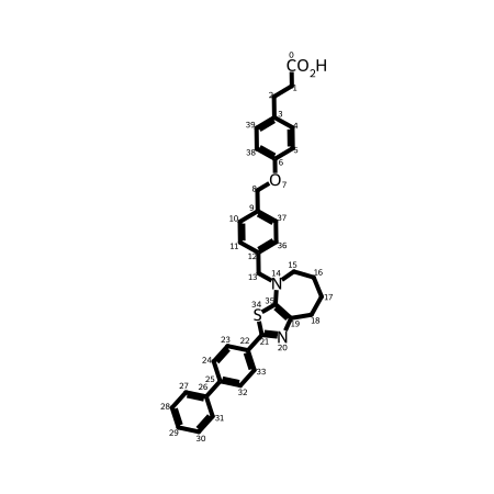 O=C(O)CCc1ccc(OCc2ccc(CN3CCCCc4nc(-c5ccc(-c6ccccc6)cc5)sc43)cc2)cc1